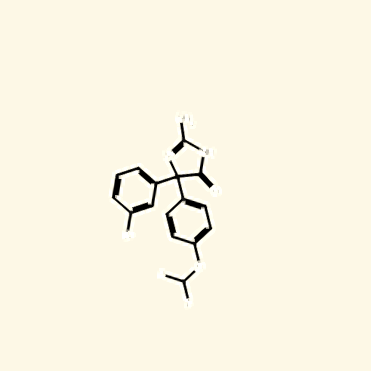 NC1=NC(c2ccc(OC(F)F)cc2)(c2cccc(Br)c2)C(=O)N1